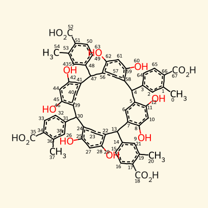 Cc1cc(C2c3cc(c(O)cc3O)C(c3ccc(C(=O)O)c(C)c3)c3cc(c(O)cc3O)C(c3ccc(C(=O)O)c(C)c3)c3cc(c(O)cc3O)C(c3ccc(C(=O)O)c(C)c3)c3cc2c(O)cc3O)ccc1C(=O)O